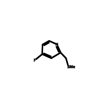 CSCc1cc(F)ccn1